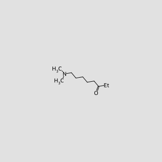 CCC(=O)CCCCCN(C)C